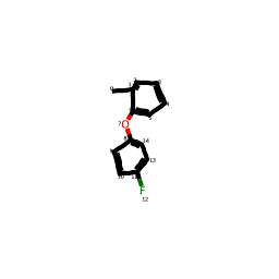 Cc1ccccc1Oc1ccc(F)cc1